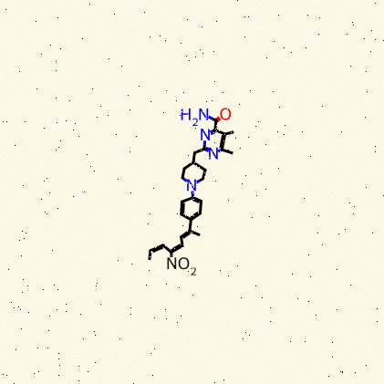 C\C=C/C(=C\C=C(/C)c1ccc(N2CCC(Cc3nc(C)c(C)c(C(N)=O)n3)CC2)cc1)[N+](=O)[O-]